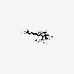 CCC(CCCCCCC(=O)O)C(CC)(C(C)=O)C(=O)O